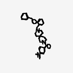 CN(C)c1ccc(C(=O)N2CCC3(CCN(Cc4ccccc4OCc4ccccc4)CC3)CC2)cc1